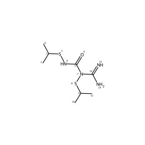 CC(C)SNC(=O)N(SC(C)C)C(=N)N